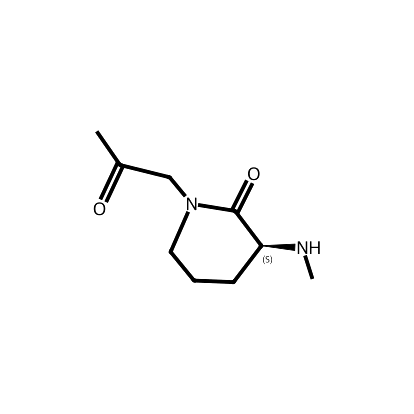 CN[C@H]1CCCN(CC(C)=O)C1=O